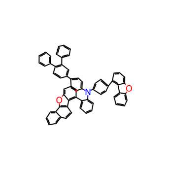 c1ccc(-c2ccc(-c3ccc(N(c4ccc(-c5cccc6oc7ccccc7c56)cc4)c4ccccc4-c4cccc5oc6c7ccccc7ccc6c45)cc3)cc2-c2ccccc2)cc1